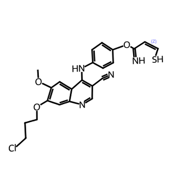 COc1cc2c(Nc3ccc(OC(=N)/C=C\S)cc3)c(C#N)cnc2cc1OCCCCl